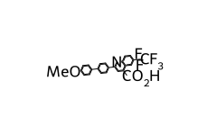 COc1ccc(-c2ccc(-c3cc(C(=O)O)c4cc(C(F)(F)C(F)(F)F)ccc4n3)cc2)cc1